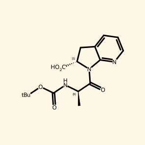 C[C@@H](NC(=O)OC(C)(C)C)C(=O)N1c2ncccc2C[C@H]1C(=O)O